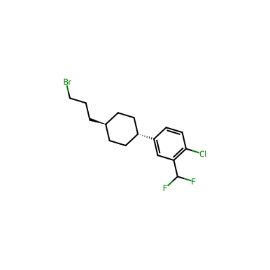 FC(F)c1cc([C@H]2CC[C@H](CCCBr)CC2)ccc1Cl